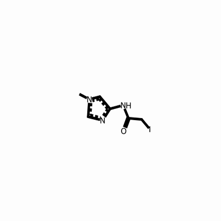 Cn1cnc(NC(=O)CI)c1